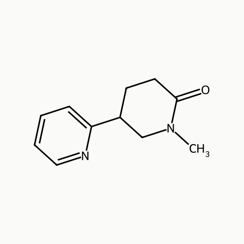 CN1CC(c2ccccn2)CCC1=O